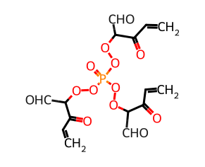 C=CC(=O)C(C=O)OOP(=O)(OOC(C=O)C(=O)C=C)OOC(C=O)C(=O)C=C